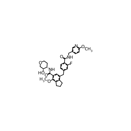 COc1ccc(CNC(=O)c2ccc(Cc3cc(C(=O)N[C@H]4CCOC[C@@H]4O)c(OC)c4c3CCC4)cc2F)cn1